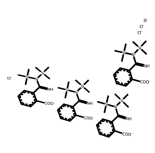 C[Si](C)(C)N(C(=N)c1ccccc1C(=O)[O-])[Si](C)(C)C.C[Si](C)(C)N(C(=N)c1ccccc1C(=O)[O-])[Si](C)(C)C.C[Si](C)(C)N(C(=N)c1ccccc1C(=O)[O-])[Si](C)(C)C.C[Si](C)(C)N(C(=N)c1ccccc1C(=O)[O-])[Si](C)(C)C.[Cl-].[Cl-].[Cl-].[Zr]